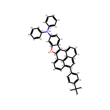 CC(C)(C)c1ccc(-c2cc3cccc4c5c6ccc(N(c7ccccc7)c7ccccc7)cc6oc5c5cccc2c5c34)cc1